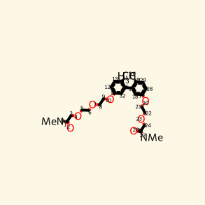 CNC(=O)COCCOCCOc1ccc(C)c(-c2cc(OCCOCC(=O)NC)ccc2C)c1